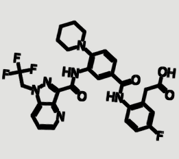 O=C(O)Cc1cc(F)ccc1NC(=O)c1ccc(N2CCCCC2)c(NC(=O)c2nn(CC(F)(F)F)c3cccnc23)c1